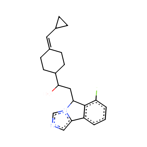 OC(CC1c2c(F)cccc2-c2cncn21)C1CCC(=CC2CC2)CC1